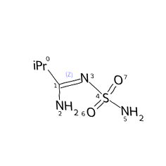 CC(C)/C(N)=N/S(N)(=O)=O